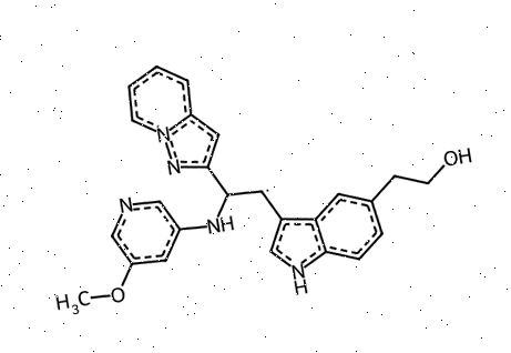 COc1cncc(NC([CH]c2c[nH]c3ccc(CCO)cc23)c2cc3ccccn3n2)c1